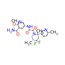 COc1ncc(NC(=O)C(=O)N2C[C@@H](C)C(F)(F)C[C@@]2(C)c2ccc(C)nc2)cc1C(N)=O